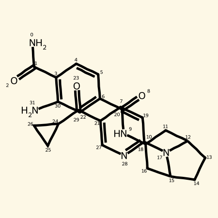 NC(=O)c1ccc(C(=O)NC2CC3CCC(C2)N3c2ccc(C(=O)C3CC3)cn2)cc1N